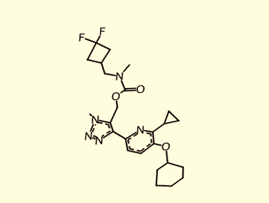 CN(CC1CC(F)(F)C1)C(=O)OCc1c(-c2ccc(OC3CCCCC3)c(C3CC3)n2)nnn1C